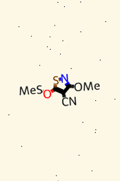 COc1nsc(OSC)c1C#N